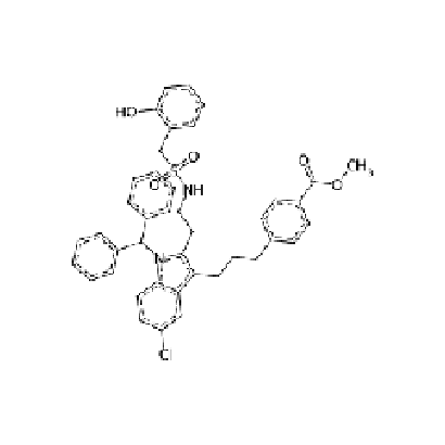 COC(=O)c1ccc(CCCc2c(CCNS(=O)(=O)Cc3ccccc3O)n(C(c3ccccc3)c3ccccc3)c3ccc(Cl)cc23)cc1